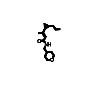 CCCC1CC1/C(C)=C/C(=O)NCC1CCOCC1